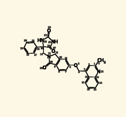 Cc1cc(COc2ccc3c(c2)CN(CC2(c4ccccc4)NC(=O)NC2=O)C3=O)c2ccccc2n1